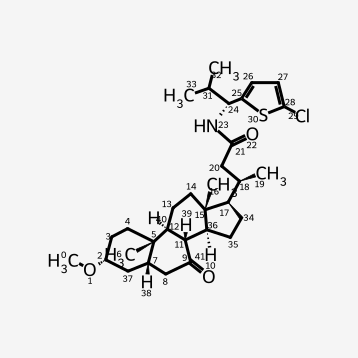 CO[C@@H]1CC[C@@]2(C)[C@H](CC(=O)[C@@H]3[C@@H]2CC[C@]2(C)[C@@H]([C@H](C)CC(=O)N[C@@H](c4ccc(Cl)s4)C(C)C)CC[C@@H]32)C1